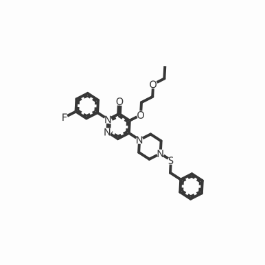 CCOCCOc1c(N2CCN(SCc3ccccc3)CC2)cnn(-c2cccc(F)c2)c1=O